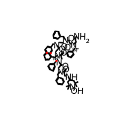 C[C@@H](c1ccccc1)N(CC(N)=O)C(=O)CN(Cc1ccccc1)C(=O)CN(Cc1ccccc1)C(=O)CN(C(=O)CN(Cc1ccccc1)C(=O)CN(Cc1ccccc1)C(=O)CNC1CC(C)(C)N(O)C(C)(C)C1)[C@@H](C)c1ccccc1